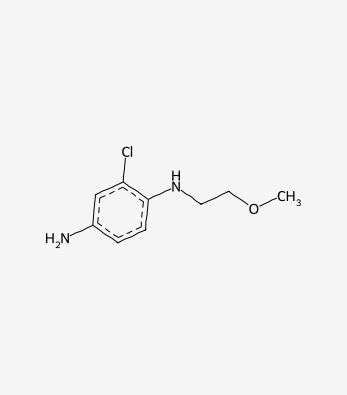 COCCNc1ccc(N)cc1Cl